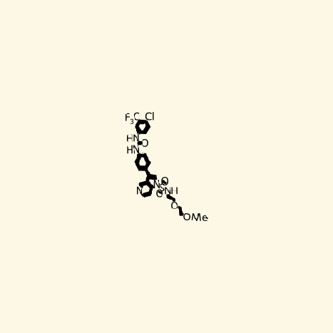 COCCOCCNS(=O)(=O)n1cc(-c2ccc(NC(=O)Nc3ccc(Cl)c(C(F)(F)F)c3)cc2)c2cnccc21